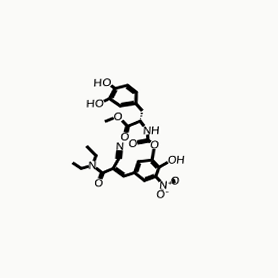 CCN(CC)C(=O)/C(C#N)=C/c1cc(OC(=O)N[C@@H](Cc2ccc(O)c(O)c2)C(=O)OC)c(O)c([N+](=O)[O-])c1